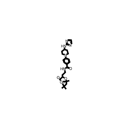 CC(C)(C)CC(C)(C)OC(CCNC(=O)c1ccc(N2CCC(Nc3ncccn3)CC2)cc1)C(=O)O